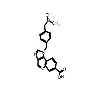 CN(C)Cc1ccc(Cn2cnc3cnc4cc(C(=O)O)ccc4c32)cc1